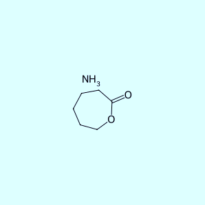 N.O=C1CCCCCO1